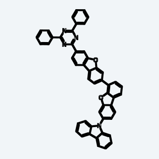 c1ccc(-c2nc(-c3ccccc3)nc(-c3ccc4c(c3)oc3cc(-c5cccc6c5oc5cc(-n7c8ccccc8c8ccccc87)ccc56)ccc34)n2)cc1